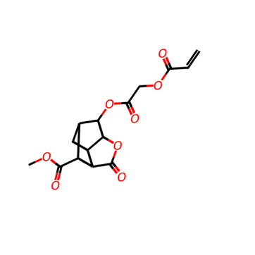 C=CC(=O)OCC(=O)OC1C2CC3C1OC(=O)C3C2C(=O)OC